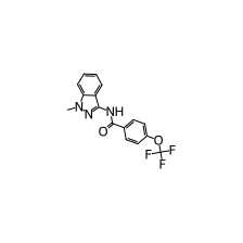 Cn1nc(NC(=O)c2ccc(OC(F)(F)F)cc2)c2ccccc21